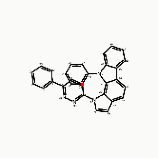 c1ccc(-c2ccc(-n3ccc4ccc5c6ccccc6n(-c6ccccc6)c5c43)nn2)cc1